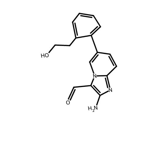 Nc1nc2ccc(-c3ccccc3CCO)cn2c1C=O